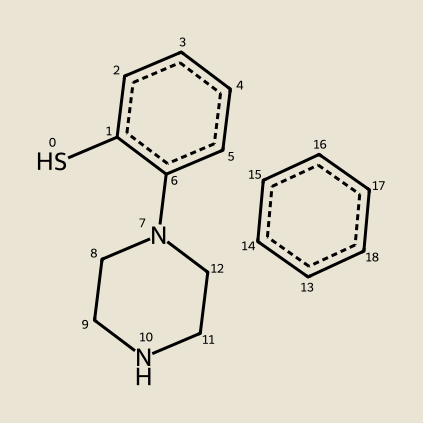 Sc1ccccc1N1CCNCC1.c1ccccc1